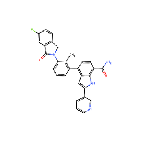 Cc1c(-c2ccc(C(N)=O)c3[nH]c(-c4cccnc4)cc23)cccc1N1Cc2ccc(F)cc2C1=O